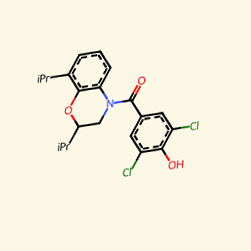 CC(C)c1cccc2c1OC(C(C)C)CN2C(=O)c1cc(Cl)c(O)c(Cl)c1